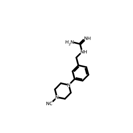 N#CN1CCN(c2cccc(CNC(=N)N)c2)CC1